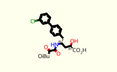 CC(C)COC(=O)C(=O)N[C@H](Cc1ccc(-c2cccc(Cl)c2)cc1)C[C@@H](O)C(=O)O